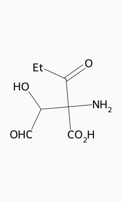 CCC(=O)C(N)(C(=O)O)C(O)C=O